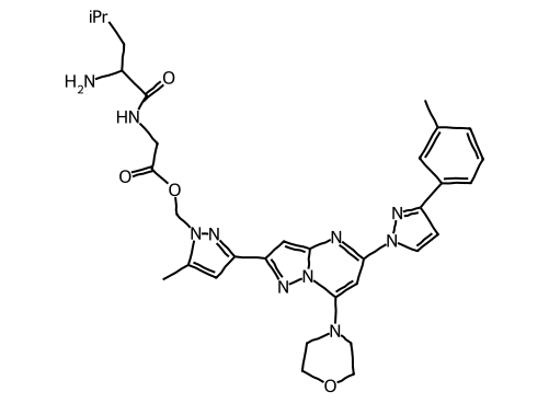 Cc1cccc(-c2ccn(-c3cc(N4CCOCC4)n4nc(-c5cc(C)n(COC(=O)CNC(=O)C(N)CC(C)C)n5)cc4n3)n2)c1